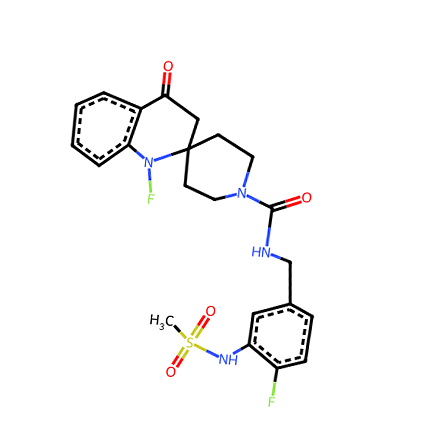 CS(=O)(=O)Nc1cc(CNC(=O)N2CCC3(CC2)CC(=O)c2ccccc2N3F)ccc1F